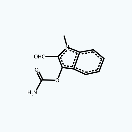 Cn1c(C=O)c(OC(N)=O)c2ccccc21